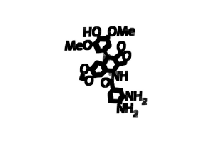 COc1cc([C@@H]2c3cc4c(cc3[C@@H](NC(=O)c3ccc(N)c(N)c3)C3COC(=O)C32)OCO4)cc(OC)c1O